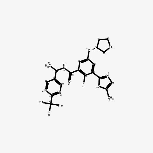 Cc1cnc(-c2cc(O[C@@H]3CCOC3)cc(C(=O)NC(C)c3cnc(C(F)(F)F)nc3)c2F)s1